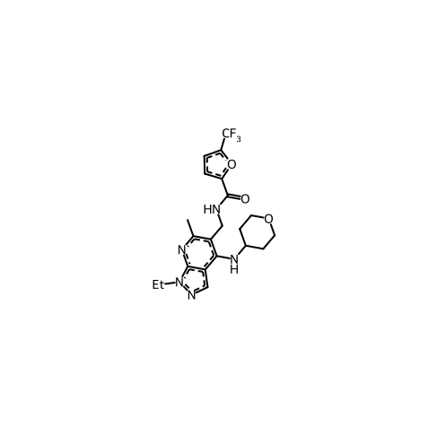 CCn1ncc2c(NC3CCOCC3)c(CNC(=O)c3ccc(C(F)(F)F)o3)c(C)nc21